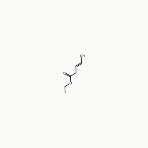 CCOC(=O)CC=CO